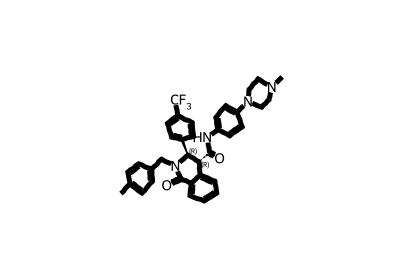 Cc1ccc(CN2C(=O)c3ccccc3[C@@H](C(=O)Nc3ccc(N4CCN(C)CC4)cc3)[C@@H]2c2ccc(C(F)(F)F)cc2)cc1